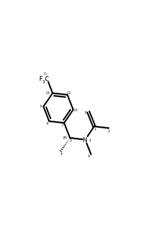 C=C(C)N(C)[C@H](C)c1ccc(C(F)(F)F)cc1